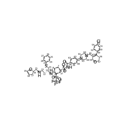 O=C(NS(=O)(=O)c1ccc(N[C@H](CCNCC2CC=CO2)CSc2ccccc2)c(S(=O)(=O)C(F)(F)F)c1)c1ccc(N2CCN(CC3=C(c4ccc(Cl)cc4)CCOC3)CC2)cc1